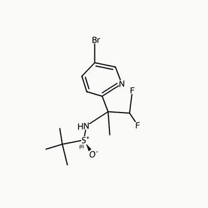 CC(N[S@@+]([O-])C(C)(C)C)(c1ccc(Br)cn1)C(F)F